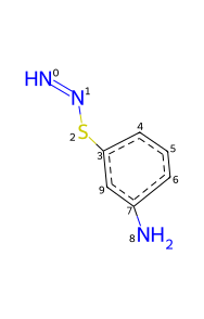 N=NSc1cccc(N)c1